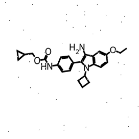 CCOc1ccc2c(c1)c(N)c(-c1ccc(NC(=O)OCC3CC3)cc1)n2C1CCC1